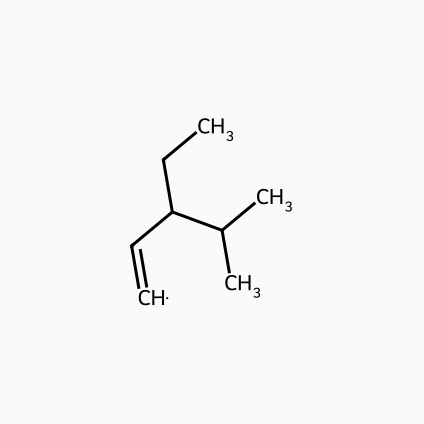 [CH]=CC(CC)C(C)C